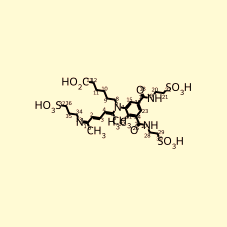 CC(/C=C/C=C(\C)N(CCCCCC(=O)O)c1cc(C(=O)NCCS(=O)(=O)O)cc(C(=O)NCCS(=O)(=O)O)c1C)=N/CCCS(=O)(=O)O